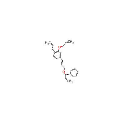 C=CCOc1cc(/C=C/COC(C=C)c2ccccc2)ccc1CC=C